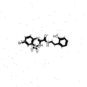 O=C(NCCc1ccccc1O)C1=Nc2ccc(Br)cc2S(=O)(=O)N1